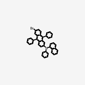 Brc1ccc2c(-c3ccccc3)c3cc(N(c4ccccc4)c4cccc5ccccc45)ccc3c(-c3ccccc3)c2c1